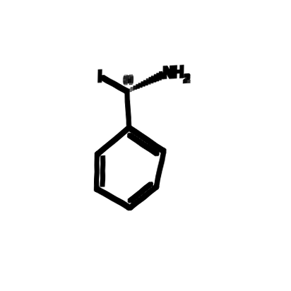 N[C@@H](I)c1ccccc1